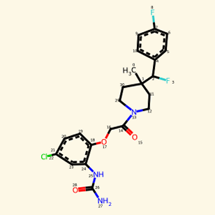 CC1(C(F)c2ccc(F)cc2)CCN(C(=O)COc2ccc(Cl)cc2NC(N)=O)CC1